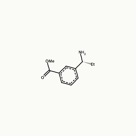 CC[C@@H](N)c1cccc(C(=O)OC)c1